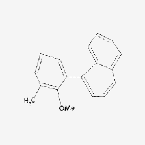 COc1c(C)cccc1-c1cccc2ccccc12